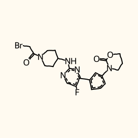 O=C(CBr)N1CCC(Nc2ncc(F)c(-c3cccc(N4CCCOC4=O)c3)n2)CC1